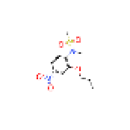 CCCOc1cc([N+](=O)[O-])ccc1N(C)S(C)(=O)=O